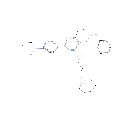 CN1CCN(c2ccc(-c3nc4c(c(NCCCN5CCCCC5)n3)CN(Cc3ccccc3)CC4)cn2)CC1